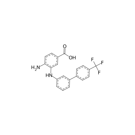 Nc1ccc(C(=O)O)cc1Nc1cccc(-c2ccc(C(F)(F)F)cc2)c1